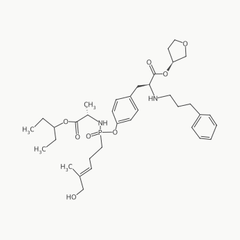 CCC(CC)OC(=O)[C@H](C)NP(=O)(CC/C=C(\C)CO)Oc1ccc(C[C@H](NCCCc2ccccc2)C(=O)O[C@H]2CCOC2)cc1